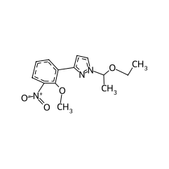 CCOC(C)n1ccc(-c2cccc([N+](=O)[O-])c2OC)n1